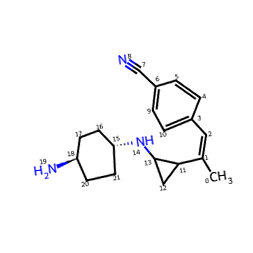 CC(=Cc1ccc(C#N)cc1)C1CC1N[C@H]1CC[C@H](N)CC1